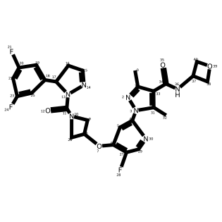 Cc1nn(-c2cc(OC3CN(C(=O)N4N=CCC4c4cc(F)cc(F)c4)C3)c(F)cn2)c(C)c1C(=O)NC1COC1